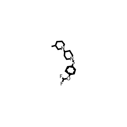 CC1CCCN(C2CCN(Sc3ccc(OC(F)F)cc3)CC2)C1